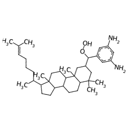 CC(C)=CCCCC(C)C1CCC2C3CCC4C(C)(C)CC(C(OO)c5cc(N)cc(N)c5)CC4(C)C3CCC12C